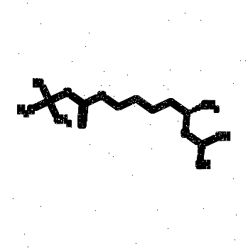 CCC(C)(C)OC(=O)OCCCC[C@H](C)ON(O)O